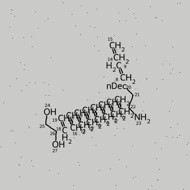 C=C.C=C.C=C.C=C.C=C.C=C.C=C.C=C.C=C.C=C.CCCCCCCCCCCCN.OCCO